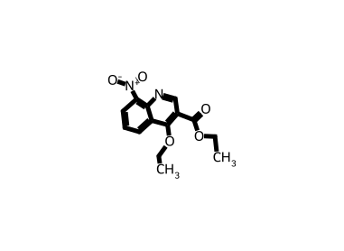 CCOC(=O)c1cnc2c([N+](=O)[O-])cccc2c1OCC